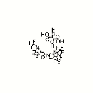 N[C@@H](CC(=O)N1CCc2c(nc(C(F)(F)F)nc2C(F)(F)F)C1)CN1CC(F)(F)CCC1=O.O=C(O)C(O)C(O)C(=O)O